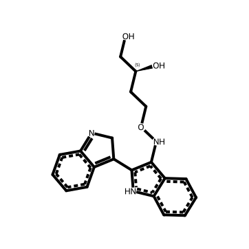 OC[C@@H](O)CCONc1c(C2=c3ccccc3=NC2)[nH]c2ccccc12